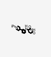 CC(C)N1CCC(c2cccc(NC3CCC(=O)NC3=O)c2)CC1